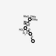 COc1cc(C(=O)NC(=N)Nc2ccc(C)c(NC(=O)c3ccc(OCc4ccccc4)cc3)c2)cc(OC)c1OC.Cl